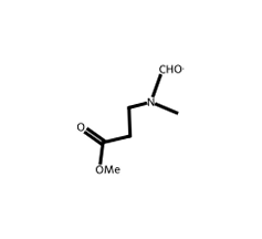 COC(=O)CCN(C)[C]=O